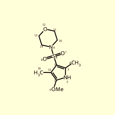 COc1[nH]c(C)c(S(=O)(=O)N2CCOCC2)c1C